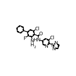 Nc1c(F)c(-c2ccccc2)cc(Cl)c1C(=O)Nc1cnc(-n2nccn2)c(Cl)c1